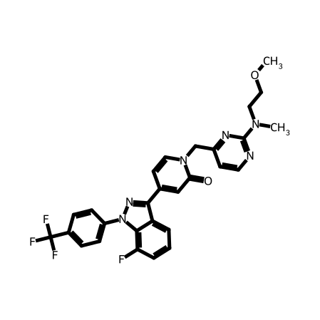 COCCN(C)c1nccc(Cn2ccc(-c3nn(-c4ccc(C(F)(F)F)cc4)c4c(F)cccc34)cc2=O)n1